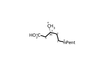 CCCCCCC[C@@H](C)CC(=O)O